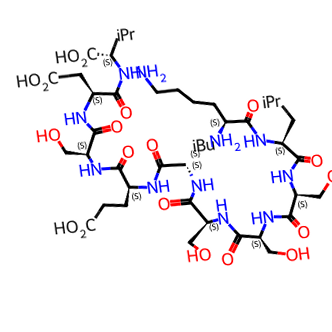 CC[C@H](C)[C@H](NC(=O)[C@H](CO)NC(=O)[C@H](CO)NC(=O)[C@H](CO)NC(=O)[C@H](CC(C)C)NC(=O)[C@@H](N)CCCCN)C(=O)N[C@@H](CCC(=O)O)C(=O)N[C@@H](CO)C(=O)N[C@@H](CC(=O)O)C(=O)N[C@H](C(=O)O)C(C)C